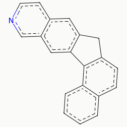 c1ccc2c3c(ccc2c1)Cc1cc2ccncc2cc1-3